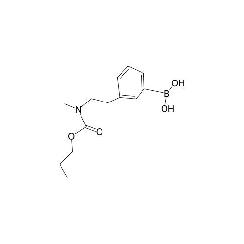 CCCOC(=O)N(C)CCc1cccc(B(O)O)c1